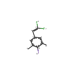 Cc1cc(C=C(F)F)cc(C)c1I